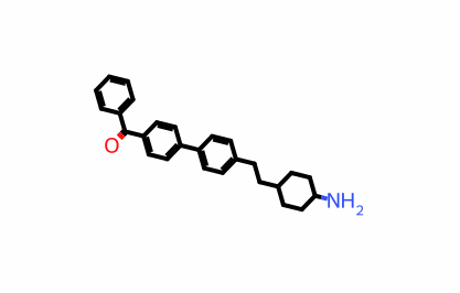 NC1CCC(CCc2ccc(-c3ccc(C(=O)c4ccccc4)cc3)cc2)CC1